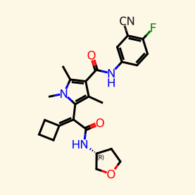 Cc1c(C(=O)Nc2ccc(F)c(C#N)c2)c(C)n(C)c1C(C(=O)N[C@@H]1CCOC1)=C1CCC1